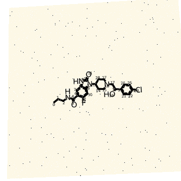 CCCNC(=O)c1cc2[nH]c(=O)n(C3CCN(CC(O)c4ccc(Cl)cc4)CC3)c2cc1F